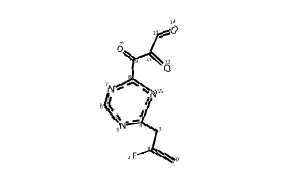 C=C(F)Cc1ncnc(C(=O)C(=O)C=O)n1